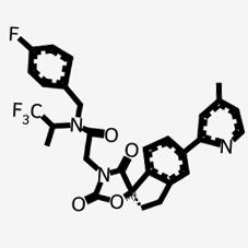 Cc1ccnc(-c2ccc3c(c2)CC[C@@]32OC(=O)N(CC(=O)N(Cc3ccc(F)cc3)C(C)C(F)(F)F)C2=O)c1